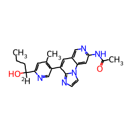 [2H]C(O)(CCC)c1cc(C)c(-c2cc3cnc(NC(C)=O)cc3n3ccnc23)cn1